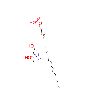 CCCCCCCCCCCCCCCCSCCCO[PH](=O)O.CC[N+](C)(CC)CCO.[OH-]